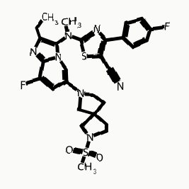 CCc1nc2c(F)cc(N3CCC4(CCN(S(C)(=O)=O)C4)C3)cn2c1N(C)c1nc(-c2ccc(F)cc2)c(C#N)s1